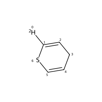 [2H]C1=CCC=CS1